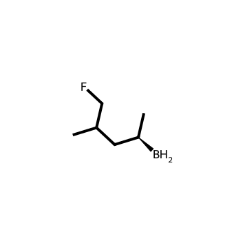 B[C@H](C)CC(C)CF